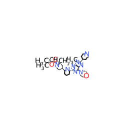 CC1CC(c2cccc(-c3nc(N4CCOCC4)c4nc(-c5ccncc5)n(C)c4n3)n2)CCN1C(=O)OC(C)(C)C